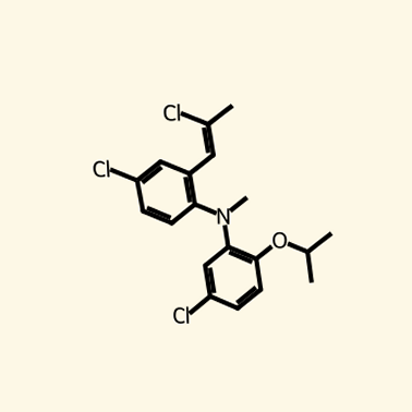 C/C(Cl)=C/c1cc(Cl)ccc1N(C)c1cc(Cl)ccc1OC(C)C